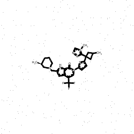 CC1CC(c2ccc(-n3cc(C(F)(F)F)c4cc(CN5CCC[C@H](C)C5)[nH]c4c3=O)s2)(c2nncn2C)C1